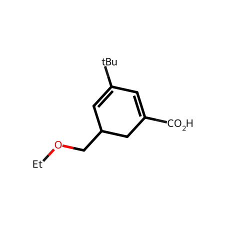 CCOCC1C=C(C(C)(C)C)C=C(C(=O)O)C1